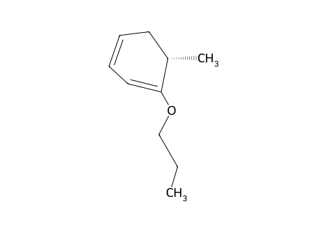 CCCOC1=CC=CC[C@@H]1C